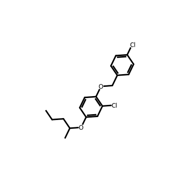 CCCC(C)Oc1ccc(OCc2ccc(Cl)cc2)c(Cl)c1